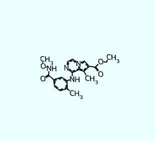 CCOC(=O)c1cn2ccnc(Nc3cc(C(=O)NOC)ccc3C)c2c1C